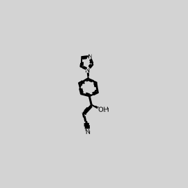 N#CC=C(O)c1ccc(-n2ccnc2)cc1